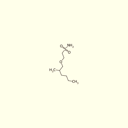 CCCCC(C)COCCS(N)(=O)=O